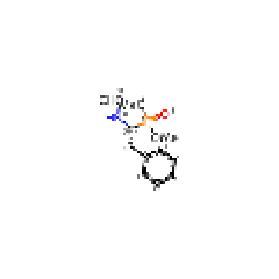 COP(=O)(OC)[C@H](Cc1ccccc1)NC=O